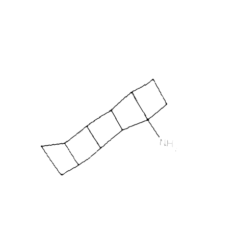 NC12CCC1C1C3C4CCC4C3C12